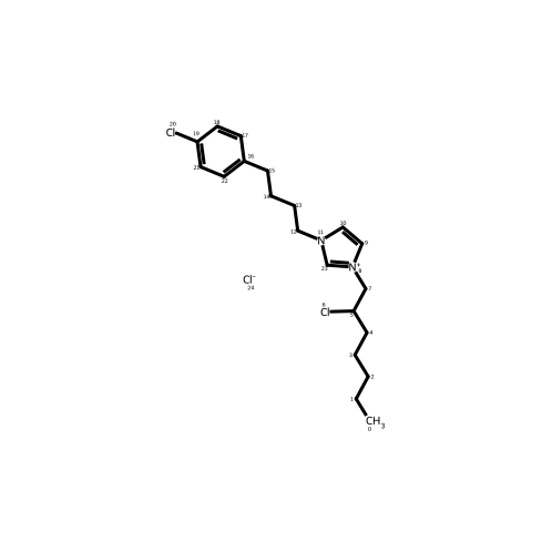 CCCCCC(Cl)C[n+]1ccn(CCCCc2ccc(Cl)cc2)c1.[Cl-]